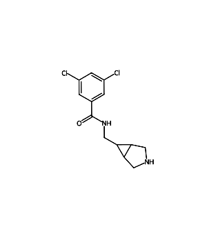 O=C(NCC1C2CNCC21)c1cc(Cl)cc(Cl)c1